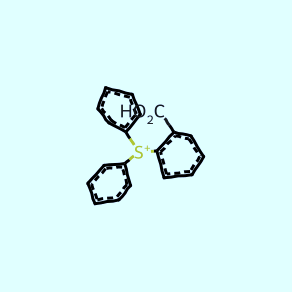 O=C(O)c1ccccc1[S+](c1ccccc1)c1ccccc1